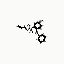 C=CCOS(=O)(=O)c1ccccc1Oc1ccccc1.[Na]